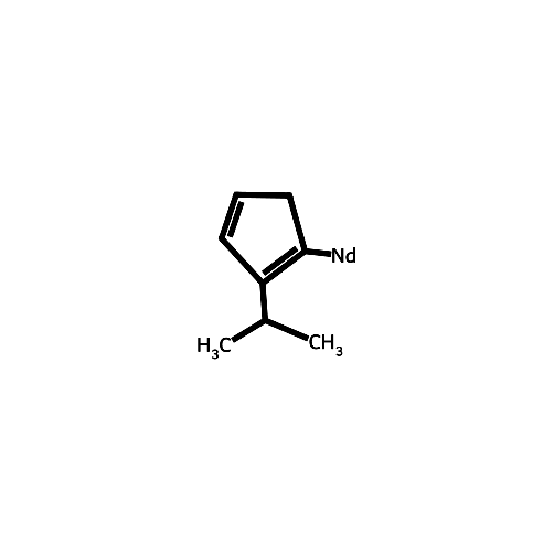 CC(C)C1=[C]([Nd])CC=C1